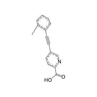 Cc1ccccc1C#Cc1ccc(C(=O)O)nc1